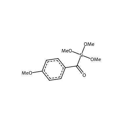 COc1ccc(C(=O)[Si](OC)(OC)OC)cc1